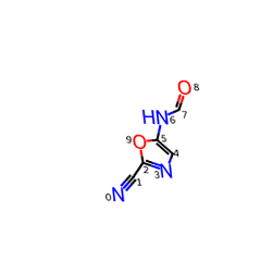 N#Cc1ncc(NC=O)o1